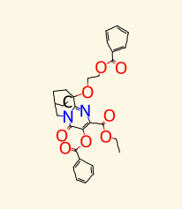 CCOC(=O)c1nc2n(c(=O)c1OC(=O)c1ccccc1)CC1CCC2(OCCOC(=O)c2ccccc2)CC1